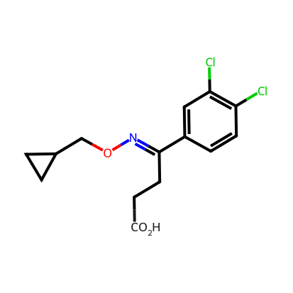 O=C(O)CC/C(=N\OCC1CC1)c1ccc(Cl)c(Cl)c1